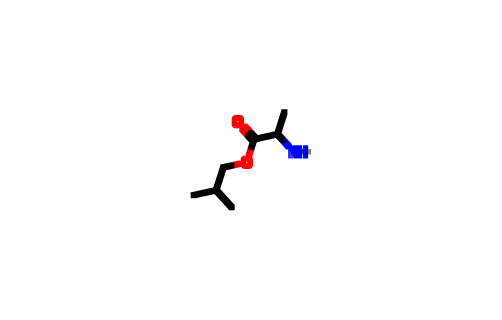 CC(C)COC(=O)C(C)[NH]